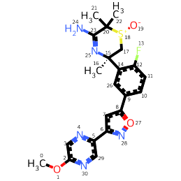 COc1cnc(-c2cc(-c3ccc(F)c([C@]4(C)C[S@@+]([O-])C(C)(C)C(N)=N4)c3)on2)cn1